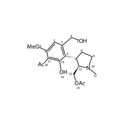 COc1cc(CO)c([C@@H]2CCN(C)[C@H]2COC(C)=O)c(O)c1C(C)=O